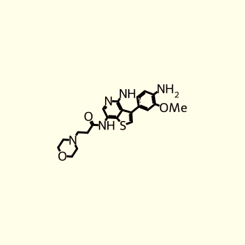 COc1cc(-c2csc3c(NC(=O)CCN4CCOCC4)cnc(N)c23)ccc1N